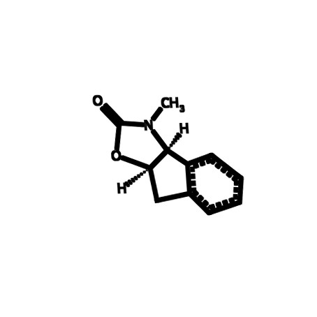 CN1C(=O)O[C@@H]2Cc3ccccc3[C@@H]21